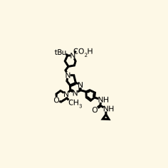 CC1COCCN1c1nc(-c2ccc(NC(=O)NC3CC3)cc2)nc2c1CN(CC1CCN(C(=O)O)C(C(C)(C)C)C1)C2